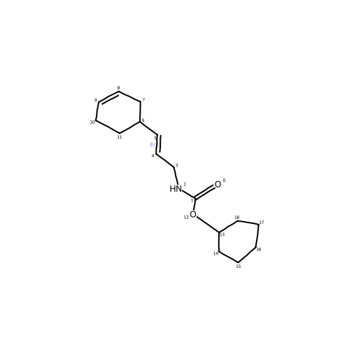 O=C(NC/C=C/C1CC=CCC1)OC1CCCCC1